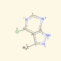 Cc1n[nH]c2ncnc(Cl)c12